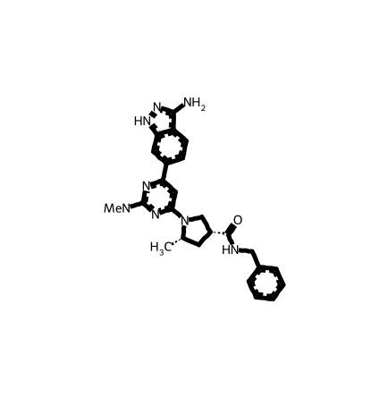 CNc1nc(-c2ccc3c(N)n[nH]c3c2)cc(N2C[C@H](C(=O)NCc3ccccc3)C[C@@H]2C)n1